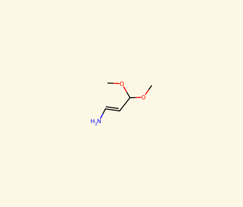 COC(C=CN)OC